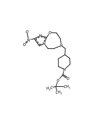 CC(C)(C)OC(=O)N1CCC(CN2CCOc3nc([N+](=O)[O-])cn3CC2)CC1